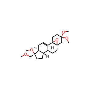 COC[C@]1(OC)CC[C@H]2[C@@H]3CC[C@]45CC(OC)(OC)CC[C@]4(O5)C3=CC[C@@]21C